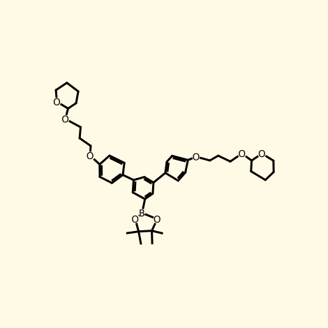 CC1(C)OB(c2cc(-c3ccc(OCCCOC4CCCCO4)cc3)cc(-c3ccc(OCCCOC4CCCCO4)cc3)c2)OC1(C)C